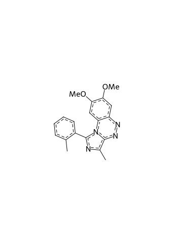 COc1cc2nnc3c(C)nc(-c4ccccc4C)n3c2cc1OC